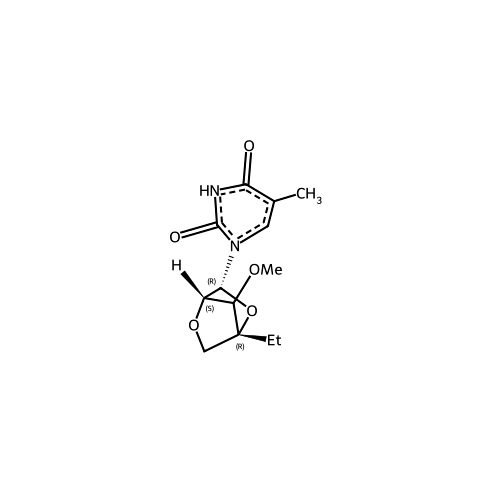 CC[C@@]12CO[C@@H](C1OC)[C@H](n1cc(C)c(=O)[nH]c1=O)O2